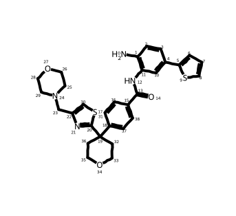 Nc1ccc(-c2cccs2)cc1NC(=O)c1ccc(C2(c3nc(CN4CCOCC4)cs3)CCOCC2)cc1